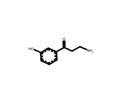 NCCC(=O)c1cccc(O)c1